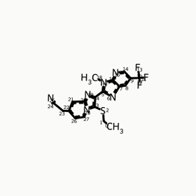 CCSc1c(-c2nc3cc(C(F)(F)F)cnc3n2C)nc2cc(CC#N)ccn12